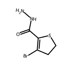 NNC(=O)C1=C(Br)CCS1